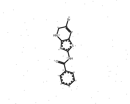 O=C(Nc1nc2c(s1)C=C(Br)CN2)c1ccccc1